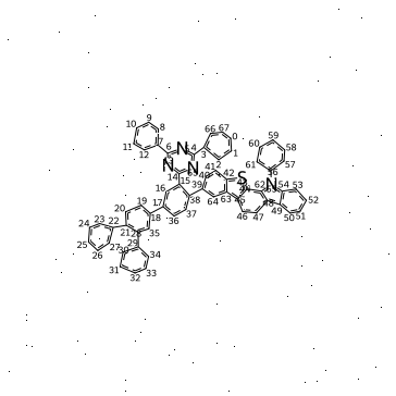 c1ccc(-c2nc(-c3ccccc3)nc(-c3cc(-c4ccc(-c5ccccc5)c(-c5ccccc5)c4)ccc3-c3ccc4sc5c(ccc6c7ccccc7n(-c7ccccc7)c65)c4c3)n2)cc1